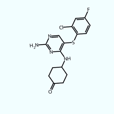 Nc1ncc(Sc2ccc(F)cc2Cl)c(NC2CCC(=O)CC2)n1